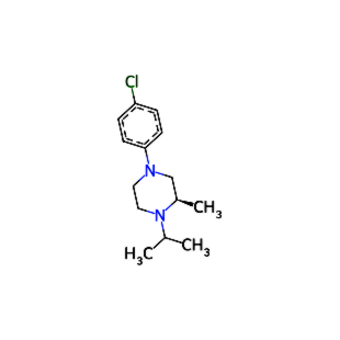 CC(C)N1CCN(c2ccc(Cl)cc2)C[C@H]1C